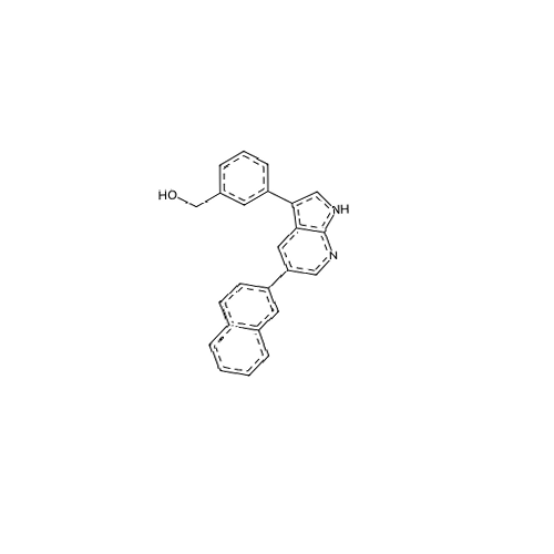 OCc1cccc(-c2c[nH]c3ncc(-c4ccc5ccccc5c4)cc23)c1